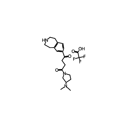 CN(C)C1CCN(C(=O)CCC(=O)c2ccc3c(c2)CCNCC3)C1.O=C(O)C(F)(F)F